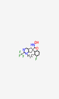 Cc1c(F)cccc1[C@]1(C(=O)NO)Cc2cnc(C(F)(F)F)nc2C1